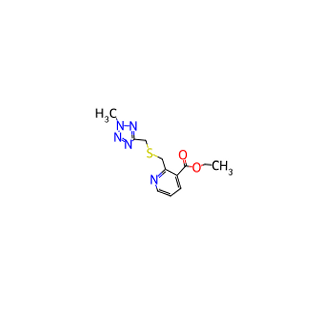 CCOC(=O)c1cccnc1CSCc1nnn(C)n1